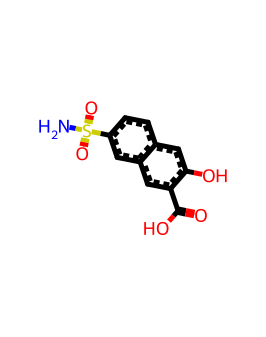 NS(=O)(=O)c1ccc2cc(O)c(C(=O)O)cc2c1